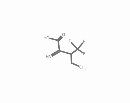 CCC(C(=N)C(=O)O)C(F)(F)F